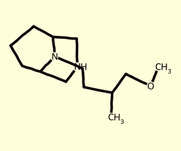 COCC(C)CCN1C2CCCC1CNC2